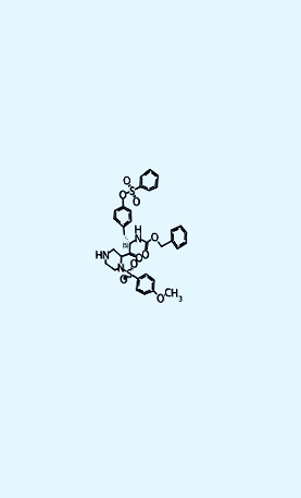 COc1ccc(S(=O)(=O)N2CCNCC2C(=O)[C@H](Cc2ccc(OS(=O)(=O)c3ccccc3)cc2)NC(=O)OCc2ccccc2)cc1